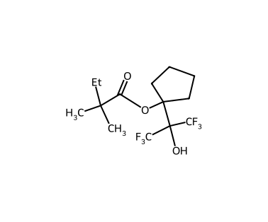 CCC(C)(C)C(=O)OC1(C(O)(C(F)(F)F)C(F)(F)F)CCCC1